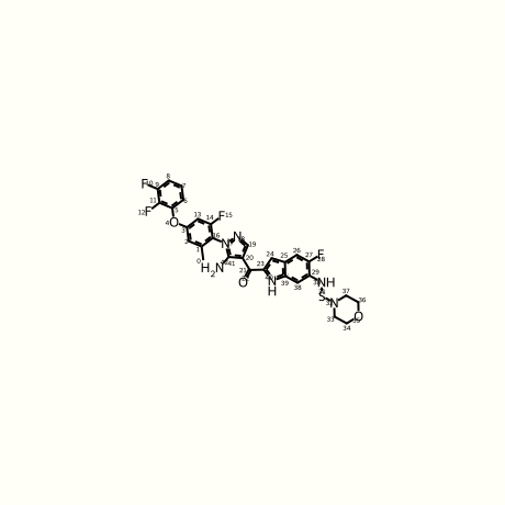 Cc1cc(Oc2cccc(F)c2F)cc(F)c1-n1ncc(C(=O)c2cc3cc(F)c(NSN4CCOCC4)cc3[nH]2)c1N